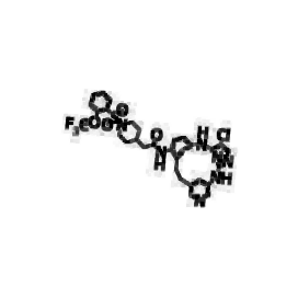 O=C(CC1CCN(S(=O)(=O)c2ccccc2OC(F)(F)F)CC1)Nc1ccc2cc1CCc1cncc(c1)Nc1ncc(Cl)c(n1)N2